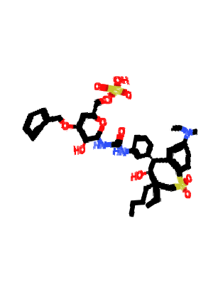 CCCC[C@]1(CC)CS(=O)(=O)c2ccc(N(C)C)cc2[C@@H](c2cccc(NC(=O)N[C@@H]3O[C@H](COS(=O)(=O)O)C[C@H](OCc4ccccc4)[C@H]3O)c2)[C@H]1O